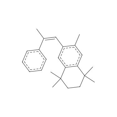 CC(=Cc1cc2c(cc1C)C(C)(C)CCC2(C)C)c1ccccc1